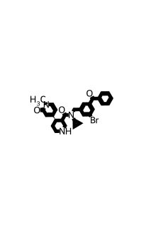 Cn1ccc([C@H]2CCNCC2C(=O)N(Cc2cc(Br)cc(C(=O)c3ccccc3)c2)C2CC2)cc1=O